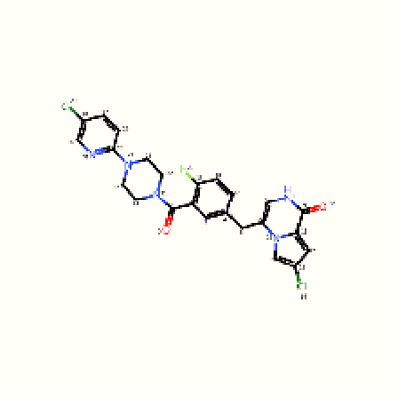 O=C(c1cc(Cc2c[nH]c(=O)c3cc(Cl)cn23)ccc1F)N1CCN(c2ccc(Cl)cn2)CC1